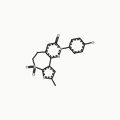 Cc1cc2c(s1)S(=O)(=O)CCc1cc(=O)n(-c3ccc(Cl)cc3)nc1-2